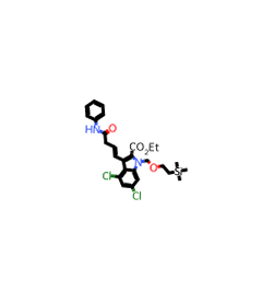 CCOC(=O)c1c(C=CCC(=O)Nc2ccccc2)c2c(Cl)cc(Cl)cc2n1COCC[Si](C)(C)C